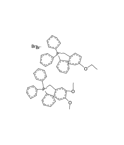 CCOc1ccc(C[P+](c2ccccc2)(c2ccccc2)c2ccccc2)cc1.COc1ccc(C[P+](c2ccccc2)(c2ccccc2)c2ccccc2)cc1OC.[Br-].[Br-]